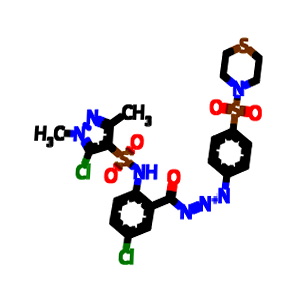 Cc1nn(C)c(Cl)c1S(=O)(=O)Nc1ccc(Cl)cc1C(=O)N=[N+]=Nc1ccc(S(=O)(=O)N2CCSCC2)cc1